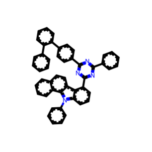 c1ccc(-c2nc(-c3ccc(-c4ccccc4-c4ccccc4)cc3)nc(-c3cccc4c3c3ccc5ccccc5c3n4-c3ccccc3)n2)cc1